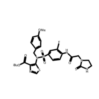 COc1ccc(CN(c2scnc2C(=O)OCC(C)C)S(=O)(=O)c2ccc(NC(=O)CN3CCNC3=S)c(F)c2)cc1